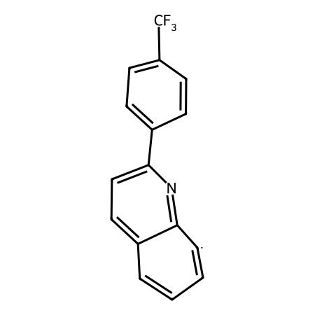 FC(F)(F)c1ccc(-c2ccc3ccc[c]c3n2)cc1